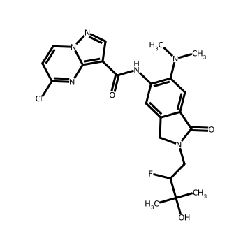 CN(C)c1cc2c(cc1NC(=O)c1cnn3ccc(Cl)nc13)CN(CC(F)C(C)(C)O)C2=O